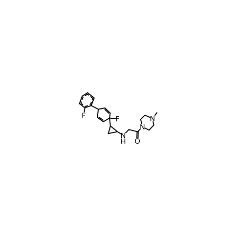 CN1CCN(C(=O)CNC2CC2C2(F)C=CC(c3ccccc3F)C=C2)CC1